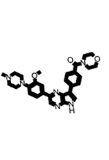 COc1cc(-c2cnc3[nH]cc(-c4ccc(C(=O)N5CCOCC5)cc4)c3n2)ccc1N1CCN(C)CC1